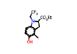 CCOC(=O)C1Cc2c(ccc(O)c2I)N1CC(F)(F)F